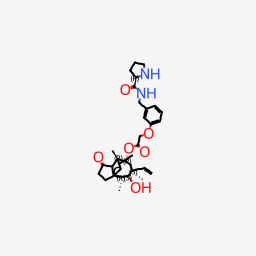 C=C[C@]1(C)C[C@@H](OC(=O)COc2cccc(CNC(=O)[C@H]3CCCN3)c2)[C@]2(C)C(C)CCC3(CCC(=O)C32)[C@@H](C)[C@@H]1O